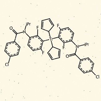 CC(C)N(C(=O)c1ccc(Cl)cc1)c1ccc(F)[c]([Ti]([c]2c(F)ccc(N(C(=O)c3ccc(Cl)cc3)C(C)C)c2F)([CH]2C=CC=C2)[CH]2C=CC=C2)c1F